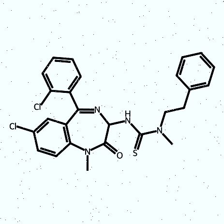 CN(CCc1ccccc1)C(=S)NC1N=C(c2ccccc2Cl)c2cc(Cl)ccc2N(C)C1=O